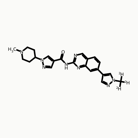 [2H]C([2H])([2H])n1cc(-c2ccc3cnc(NC(=O)c4cnn(C5CCN(C)CC5)c4)nc3c2)cn1